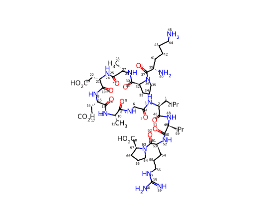 CC(C)C[C@H](NC(=O)CNC(=O)[C@H](C)NC(=O)[C@H](CC(=O)O)NC(=O)[C@H](CC(=O)O)NC(=O)[C@H](C)NC(=O)[C@@H]1CCCN1C(=O)[C@@H](N)CCCCN)C(=O)N[C@H](C(=O)N[C@@H](CCCNC(=N)N)C(=O)N1CCC[C@H]1C(=O)O)C(C)C